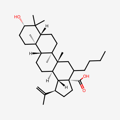 C=C(C)[C@@H]1CC[C@]2(C(=O)O)C(CCCC)C[C@]3(C)[C@H](CC[C@@H]4[C@@]5(C)CC[C@H](O)C(C)(C)[C@@H]5CC[C@]43C)[C@@H]12